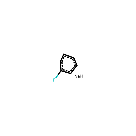 Fc1cc[c]cc1.[NaH]